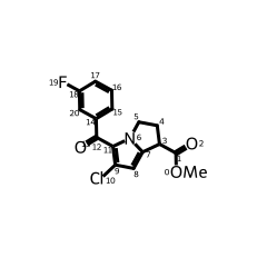 COC(=O)C1CCn2c1cc(Cl)c2C(=O)c1cccc(F)c1